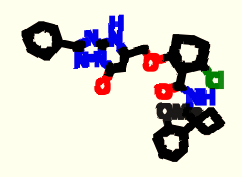 COc1ccccc1C1(CNC(=O)c2c(Cl)cccc2OCc2cc(=O)n3nc(-c4ccccc4)nc3[nH]2)CCC1